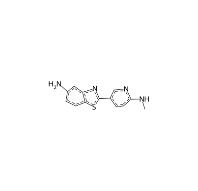 CNc1ccc(-c2nc3cc(N)ccc3s2)cn1